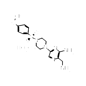 NCc1ncc(N2CCN(S(=O)(=O)c3ccc(OC(F)(F)F)cc3)[C@@H](C(=O)O)C2)nc1N